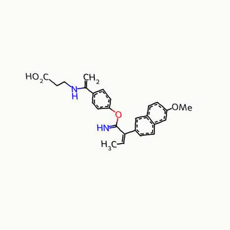 C=C(NCCC(=O)O)c1ccc(OC(=N)/C(=C\C)c2ccc3cc(OC)ccc3c2)cc1